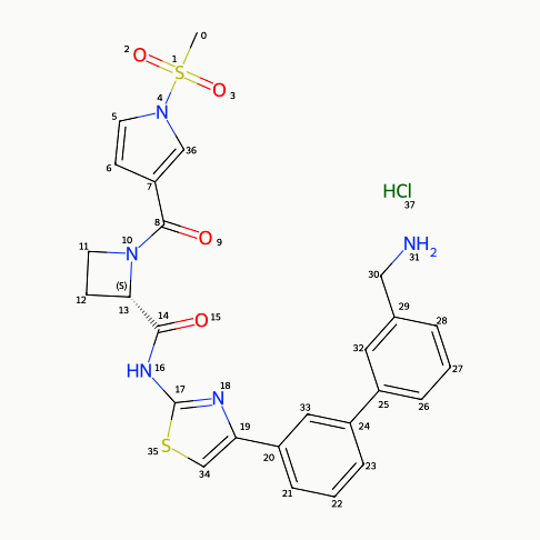 CS(=O)(=O)n1ccc(C(=O)N2CC[C@H]2C(=O)Nc2nc(-c3cccc(-c4cccc(CN)c4)c3)cs2)c1.Cl